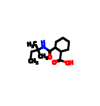 CCC(C)(C)NC(=O)C1CCCCC1C(=O)O